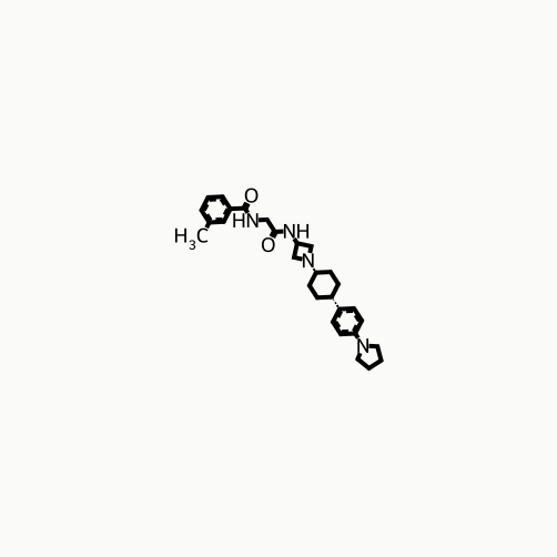 Cc1cccc(C(=O)NCC(=O)NC2CN([C@H]3CC[C@@H](c4ccc(N5CCCC5)cc4)CC3)C2)c1